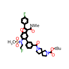 CNC(=O)c1c(-c2ccc(F)cc2)oc2cc(N(CCF)S(C)(=O)=O)c(-c3cccc(C(=O)N4CCC5(CCN(C(=O)OC(C)(C)C)C5)C4)c3)cc12